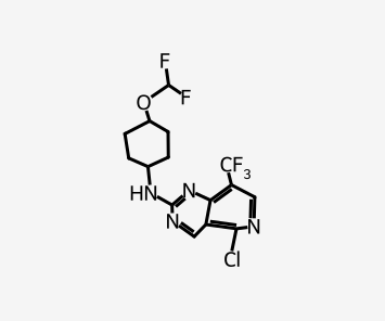 FC(F)OC1CCC(Nc2ncc3c(Cl)ncc(C(F)(F)F)c3n2)CC1